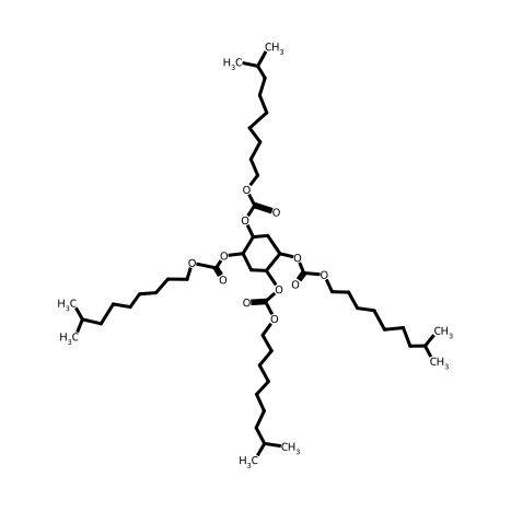 CC(C)CCCCCCCOC(=O)OC1CC(OC(=O)OCCCCCCCC(C)C)C(OC(=O)OCCCCCCCC(C)C)CC1OC(=O)OCCCCCCCC(C)C